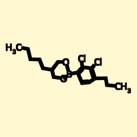 CCCCCC1COB(c2ccc(CCC)c(Cl)c2Cl)OC1